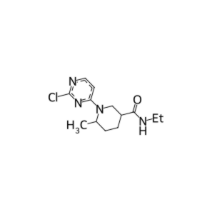 CCNC(=O)C1CCC(C)N(c2ccnc(Cl)n2)C1